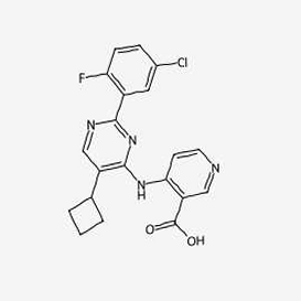 O=C(O)c1cnccc1Nc1nc(-c2cc(Cl)ccc2F)ncc1C1CCC1